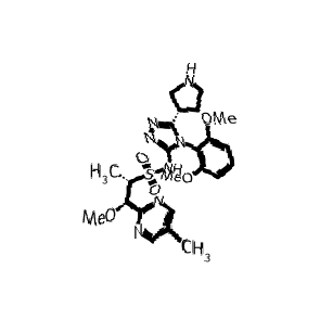 COc1cccc(OC)c1-n1c(NS(=O)(=O)[C@@H](C)[C@H](OC)c2ncc(C)cn2)nnc1[C@H]1CCNC1